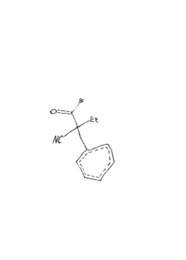 CCC(C#N)(C(=O)Br)c1ccccc1